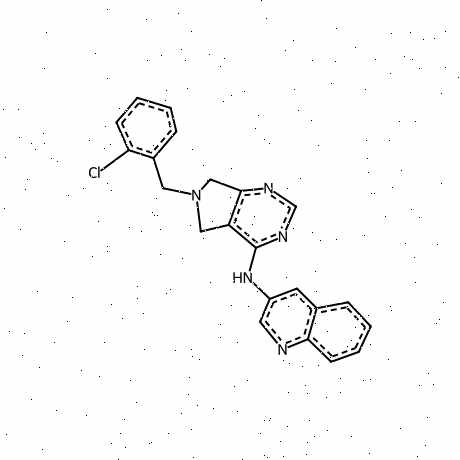 Clc1ccccc1CN1Cc2ncnc(Nc3cnc4ccccc4c3)c2C1